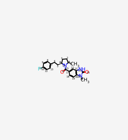 C[C@@H]1CC[C@H](CCc2ccc(F)cc2)N1C(=O)c1ccc2c(c1)[nH]c(=O)n2C